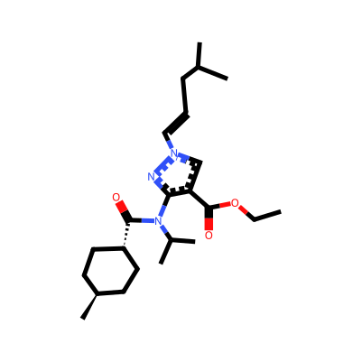 CCOC(=O)c1cn(C=CCC(C)C)nc1N(C(=O)[C@H]1CC[C@H](C)CC1)C(C)C